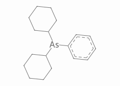 c1ccc([As](C2CCCCC2)C2CCCCC2)cc1